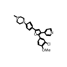 COc1ccc(-c2oc(-c3ccc(N4CCN(C)CC4)cc3)cc2-c2ccncc2)cc1Cl